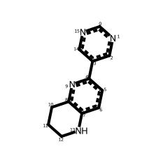 c1ncc(-c2ccc3c(n2)CCCN3)cn1